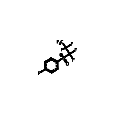 O=S(=O)(c1ccc(F)cc1)C(F)(F)C(F)(F)C(F)(F)F